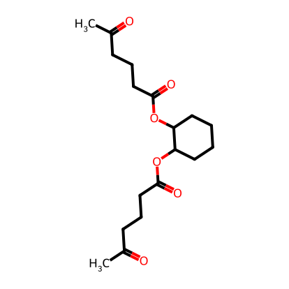 CC(=O)CCCC(=O)OC1CCCCC1OC(=O)CCCC(C)=O